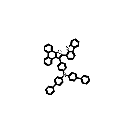 c1ccc(-c2ccc(N(c3ccc(-c4ccccc4)cc3)c3ccc(-c4c(-c5cccc6c5sc5ccccc56)oc5c6ccccc6c6ccccc6c45)cc3)cc2)cc1